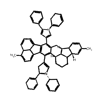 CC1=C[C@@H]2C3CCC[C@@H]4c5c(c(-c6cc(-c7ccccc7)n(C7=CC=CCC7)c6)c6c(c5C5=CN([C@H]7C=CC=CC7)C(C7=CCCC=C7)C5)C5=CC=C(C)C7C=CC=C6C57)C[C@H](C2C=C1)C34